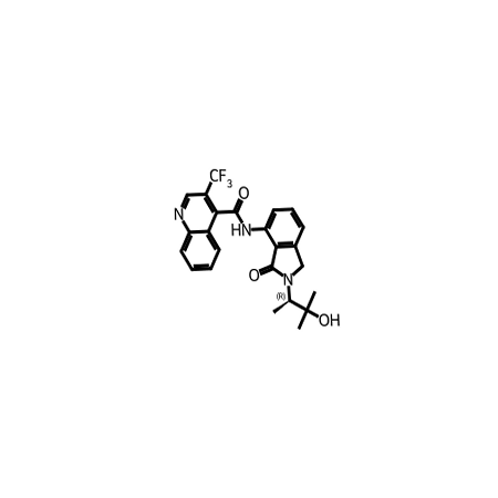 C[C@@H](N1Cc2cccc(NC(=O)c3c(C(F)(F)F)cnc4ccccc34)c2C1=O)C(C)(C)O